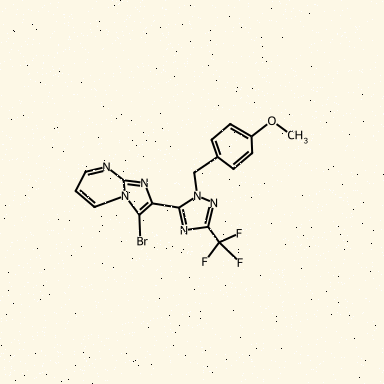 COc1ccc(Cn2nc(C(F)(F)F)nc2-c2nc3ncccn3c2Br)cc1